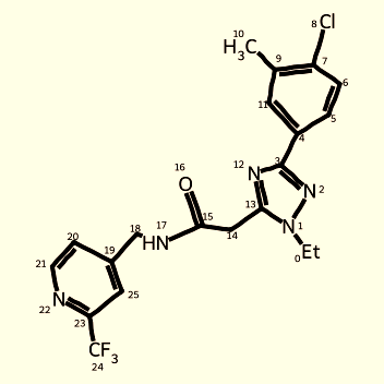 CCn1nc(-c2ccc(Cl)c(C)c2)nc1CC(=O)NCc1ccnc(C(F)(F)F)c1